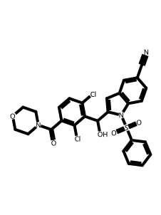 N#Cc1ccc2c(c1)cc(C(O)c1c(Cl)ccc(C(=O)N3CCOCC3)c1Cl)n2S(=O)(=O)c1ccccc1